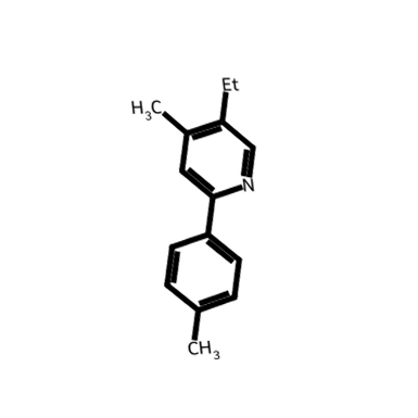 CCc1cnc(-c2ccc(C)cc2)cc1C